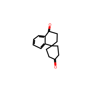 O=C1CCC2(CC1)CCC(=O)c1ccccc12